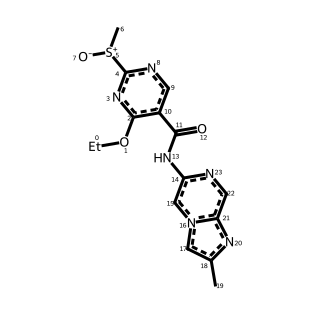 CCOc1nc([S+](C)[O-])ncc1C(=O)Nc1cn2cc(C)nc2cn1